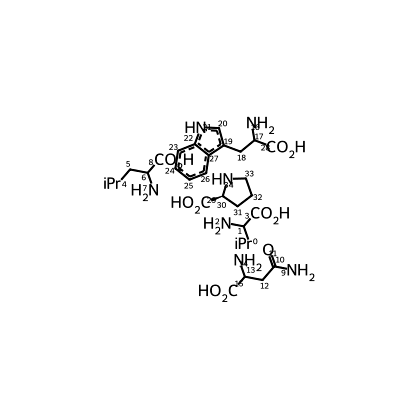 CC(C)C(N)C(=O)O.CC(C)CC(N)C(=O)O.NC(=O)CC(N)C(=O)O.NC(Cc1c[nH]c2ccccc12)C(=O)O.O=C(O)[C@@H]1CCCN1